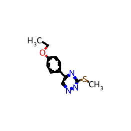 CCOc1ccc(-c2cnnc(SC)n2)cc1